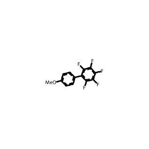 COc1ccc(-c2c(F)c(F)c(F)c(F)c2F)cc1